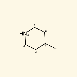 [CH2]C1CCNCC1